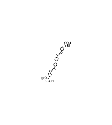 CCOC(Cc1ccc(OC/C=C(\C)c2ccc(-c3ccc(/C(C)=C/COc4ccc(CC(OCC)C(=O)O)cc4)cc3)cc2)cc1)C(=O)O